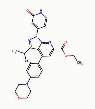 CCOC(=O)c1cc(-c2ccc(N3CCOCC3)cc2)c2c(C(C)C)nn(-c3cc[nH]c(=O)c3)c2n1